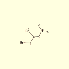 CN(C)CC(Br)CBr